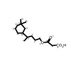 CC(CCCOC(=O)CC(=O)O)C1CCCC(C)(C)C1